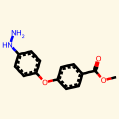 COC(=O)c1ccc(Oc2ccc(NN)cc2)cc1